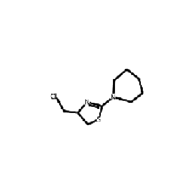 ClCC1CSC(N2CCCCC2)=N1